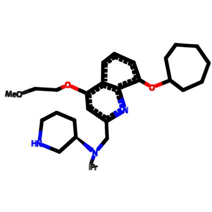 COCCOc1cc(CN(C(C)C)[C@@H]2CCCNC2)nc2c(OC3CCCCCC3)cccc12